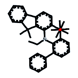 CCN(c1c(-c2ccccc2)cccc1C(C)(C)C)c1c(C(C)(C)C)ccc2c1C(C)(C)c1ccccc1-2